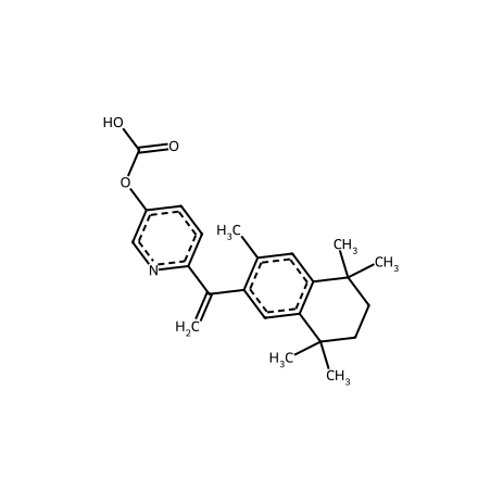 C=C(c1ccc(OC(=O)O)cn1)c1cc2c(cc1C)C(C)(C)CCC2(C)C